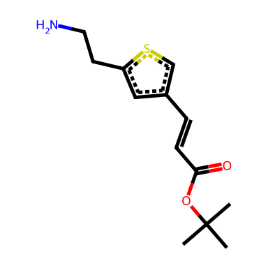 CC(C)(C)OC(=O)C=Cc1csc(CCN)c1